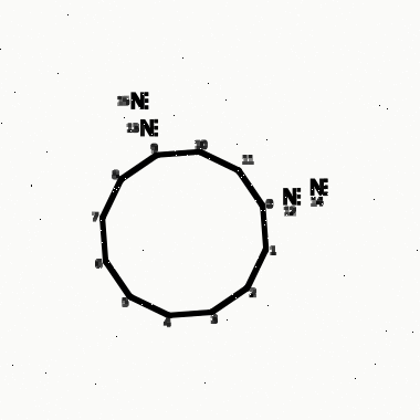 C1CCCCCCCCCCC1.[N].[N].[N].[N]